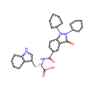 O=C(N[C@@H](Cc1c[nH]c2ccccc12)C(=O)O)c1ccc2c(c1)c(=O)n(-c1ccccc1)n2-c1ccccc1